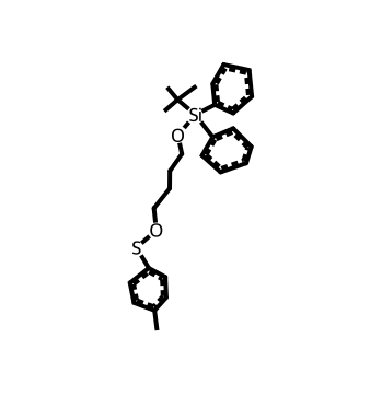 Cc1ccc(SOCCCCO[Si](c2ccccc2)(c2ccccc2)C(C)(C)C)cc1